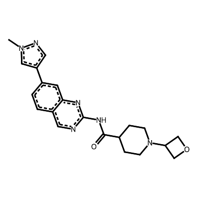 Cn1cc(-c2ccc3cnc(NC(=O)C4CCN(C5COC5)CC4)nc3c2)cn1